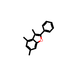 Cc1cc(C)c2c(C)c(-c3ccccc3)oc2c1